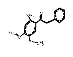 COc1cc(C)c(C(=O)Cc2ccccc2)cc1OC